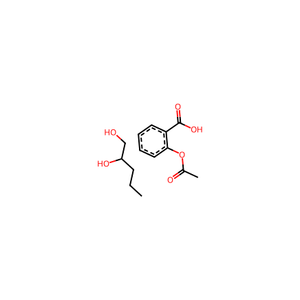 CC(=O)Oc1ccccc1C(=O)O.CCCC(O)CO